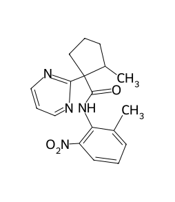 Cc1cccc([N+](=O)[O-])c1NC(=O)C1(c2ncccn2)CCCC1C